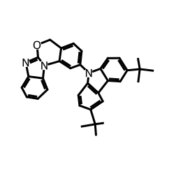 CC(C)(C)c1ccc2c(c1)c1cc(C(C)(C)C)ccc1n2-c1ccc2c(c1)-n1c(nc3ccccc31)OC2